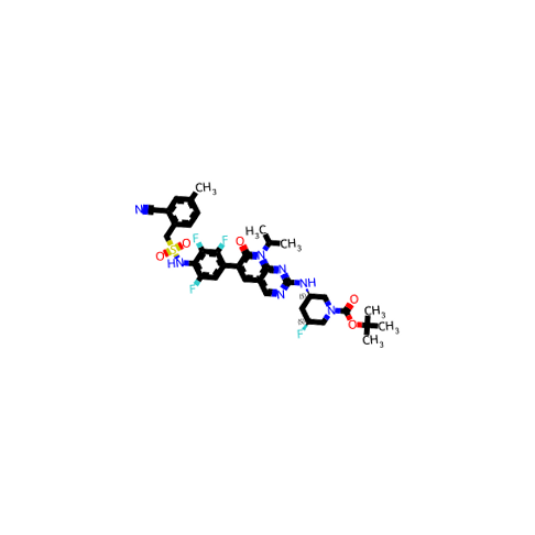 Cc1ccc(CS(=O)(=O)Nc2c(F)cc(-c3cc4cnc(N[C@H]5C[C@H](F)CN(C(=O)OC(C)(C)C)C5)nc4n(C(C)C)c3=O)c(F)c2F)c(C#N)c1